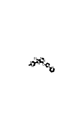 CCn1c(-c2cnc(C)nc2)nc2c(O[C@H]3CCN(c4ccccn4)C3)ncnc21